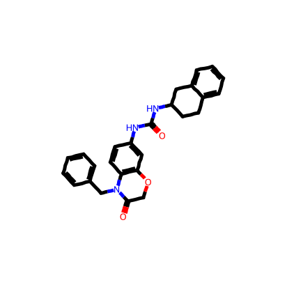 O=C(Nc1ccc2c(c1)OCC(=O)N2Cc1ccccc1)NC1CCc2ccccc2C1